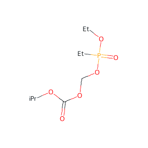 CCOP(=O)(CC)OCOC(=O)OC(C)C